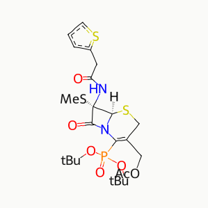 CS[C@@]1(NC(=O)Cc2cccs2)C(=O)N2C(P(=O)(OC(C)(C)C)OC(C)(C)C)=C(COC(C)=O)CS[C@@H]21